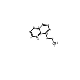 OCCc1cccc2cccnc12